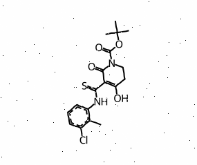 Cc1c(Cl)cccc1NC(=S)C1=C(O)CCN(C(=O)OC(C)(C)C)C1=O